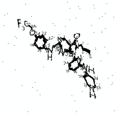 C=CCn1c(=O)c2cnc(Nc3ccc(OCC(F)(F)F)cc3)nc2n1-c1cccc(NC2CCNCC2)n1